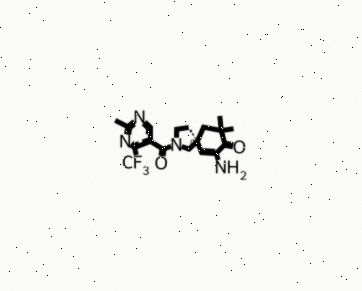 Cc1ncc(C(=O)N2CC[C@]3(C=C(N)C(=O)C(C)(C)C3)C2)c(C(F)(F)F)n1